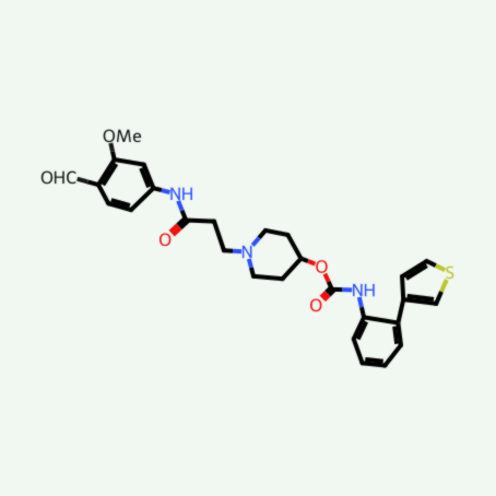 COc1cc(NC(=O)CCN2CCC(OC(=O)Nc3ccccc3-c3ccsc3)CC2)ccc1C=O